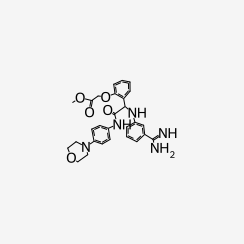 COC(=O)COc1ccccc1C(Nc1cccc(C(=N)N)c1)C(=O)Nc1ccc(N2CCOCC2)cc1